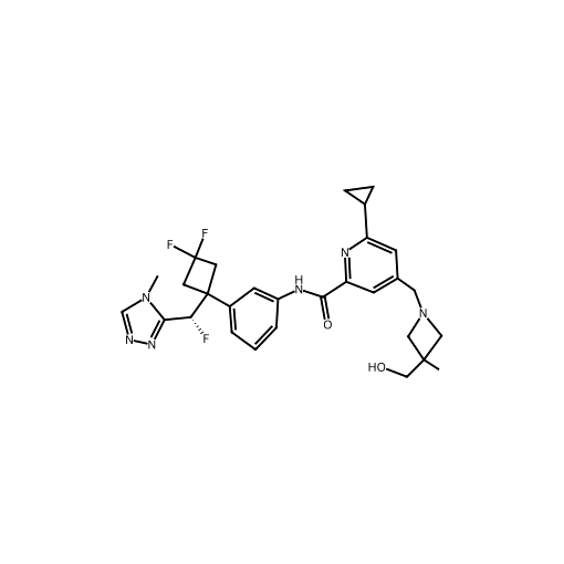 Cn1cnnc1[C@@H](F)C1(c2cccc(NC(=O)c3cc(CN4CC(C)(CO)C4)cc(C4CC4)n3)c2)CC(F)(F)C1